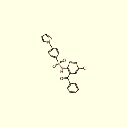 O=C(c1ccccc1)c1cc(Cl)ccc1NS(=O)(=O)c1ccc(-n2cccn2)cc1